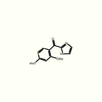 COc1ccc(C(=O)c2ncc[nH]2)c(OC)c1